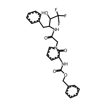 O=C(Cn1cccc(NC(=O)OCc2ccccc2)c1=O)NC(Cc1ccccc1)C(O)C(F)(F)F